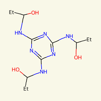 CCC(O)Nc1nc(NC(O)CC)nc(NC(O)CC)n1